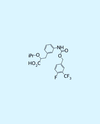 CC(C)OC(Cc1cccc(NC(=O)OCc2ccc(F)c(C(F)(F)F)c2)c1)C(=O)O